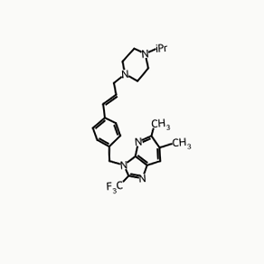 Cc1cc2nc(C(F)(F)F)n(Cc3ccc(C=CCN4CCN(C(C)C)CC4)cc3)c2nc1C